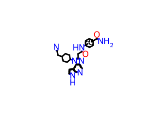 N#CCC1CCC(n2c(CC(=O)NC34CCC(C(N)=O)(CC3)CC4)nc3cnc4[nH]ccc4c32)CC1